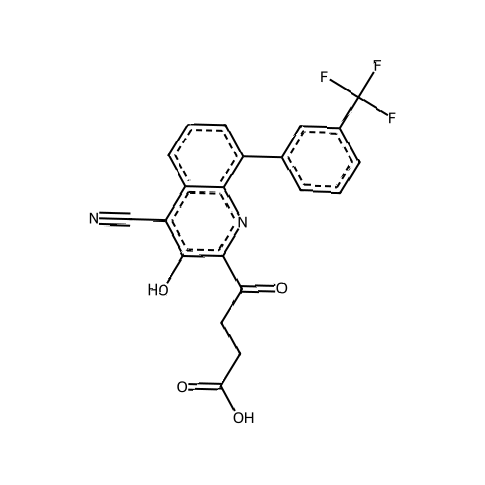 N#Cc1c(O)c(C(=O)CCC(=O)O)nc2c(-c3cccc(C(F)(F)F)c3)cccc12